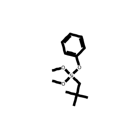 CO[Si](CC(C)(C)C)(OC)Oc1ccccc1